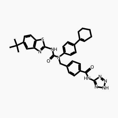 CC(C)(C)c1ccc2sc(NC(=O)N(Cc3ccc(C(=O)Nc4nn[nH]n4)cc3)c3ccc(C4=CCCCC4)cc3)nc2c1